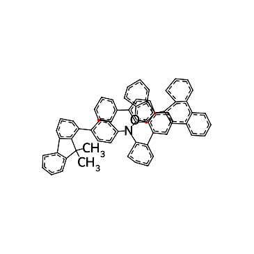 CC1(C)c2ccccc2-c2cccc(-c3ccc(N(c4cc(-c5cc6ccccc6c6ccccc56)ccc4-c4ccccc4)c4ccccc4-c4cccc5c4oc4ccccc45)cc3)c21